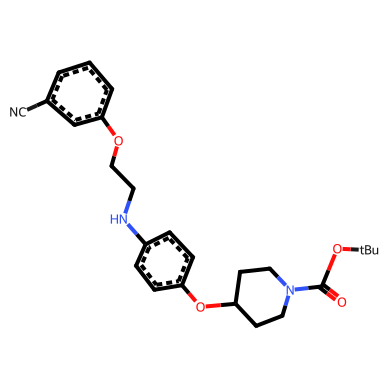 CC(C)(C)OC(=O)N1CCC(Oc2ccc(NCCOc3cccc(C#N)c3)cc2)CC1